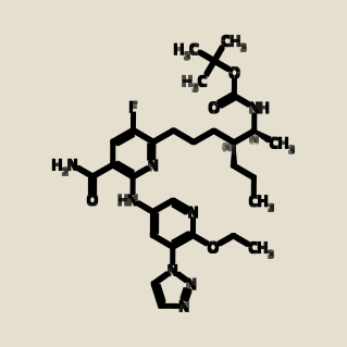 CCC[C@@H](CCCc1nc(Nc2cnc(OCC)c(-n3ccnn3)c2)c(C(N)=O)cc1F)[C@H](C)NC(=O)OC(C)(C)C